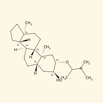 CC(O[C@H]1C[C@@]2(C)[C@@H](CC[C@H]3[C@@H]4CCC[C@@]4(C)CC[C@@H]32)C[C@@H]1O)N(C)C